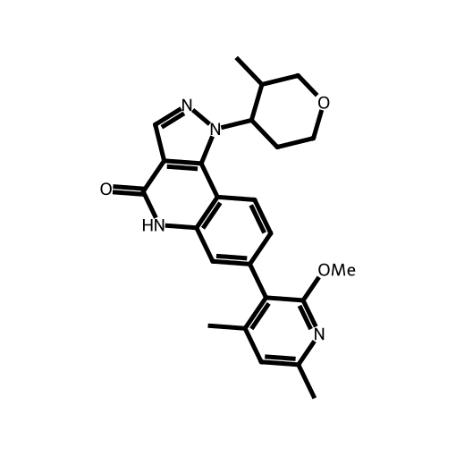 COc1nc(C)cc(C)c1-c1ccc2c(c1)[nH]c(=O)c1cnn(C3CCOCC3C)c12